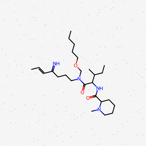 C/C=C/C(=N)CCCN(COCCCCC)C(=O)C(NC(=O)C1CCCCN1C)C(C)CC